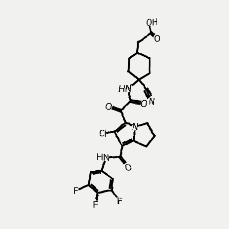 N#CC1(NC(=O)C(=O)c2c(Cl)c(C(=O)Nc3cc(F)c(F)c(F)c3)c3n2CCC3)CCC(CC(=O)O)CC1